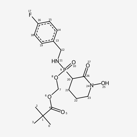 CC(C)(C)C(=O)OCOP(=O)(NCc1ccc(F)cc1)C1CCCN(O)C1=O